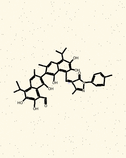 CC1=NN(c2ccc(C)cc2)C(=O)/C1=C\c1c(O)c(O)c(C(C)C)c2cc(C)c(-c3c(C)cc4c(C(C)C)c(O)c(O)c(C=O)c4c3O)c(O)c12